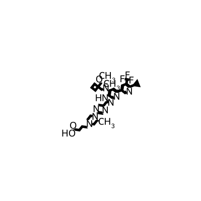 COCC1(CN(C)c2cc(-c3cnc(C4CC4)c(C(F)(F)F)c3)nc3nc(-c4cnc(N5CCN(CCCC(=O)O)C[C@@H]5C)cn4)[nH]c23)CCC1